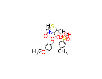 C=C1CS[C@H]2CC(=O)N2C1C(=O)OCc1ccc(OC)cc1.Cc1ccc(S(=O)(=O)O)cc1